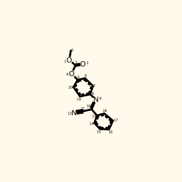 COC(=O)Oc1ccc(N=C(C#N)c2ccccc2)cc1